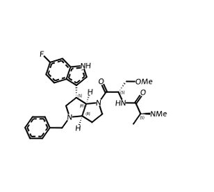 CN[C@@H](C)C(=O)N[C@@H](COC)C(=O)N1CC[C@@H]2[C@H]1[C@@H](c1c[nH]c3cc(F)ccc13)CN2Cc1ccccc1